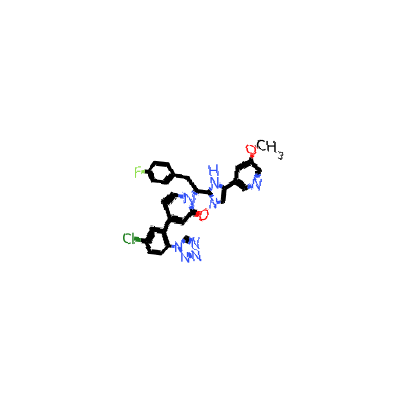 COc1cncc(-c2cnc(C(Cc3ccc(F)cc3)n3ccc(-c4cc(Cl)ccc4-n4cnnn4)cc3=O)[nH]2)c1